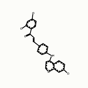 O=C(C=Cc1ccc(Nc2ccnc3cc(Cl)ccc23)cc1)c1ccc(Cl)cc1Cl